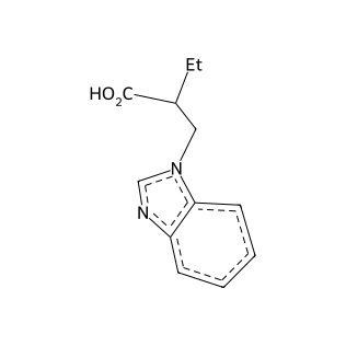 CCC(Cn1cnc2ccccc21)C(=O)O